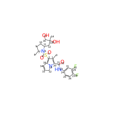 Cc1c(S(=O)(=O)N2C(C)CCC2CC(C)(O)CO)c2n(c1C(=O)Nc1ccc(F)c(F)c1)CC=C2